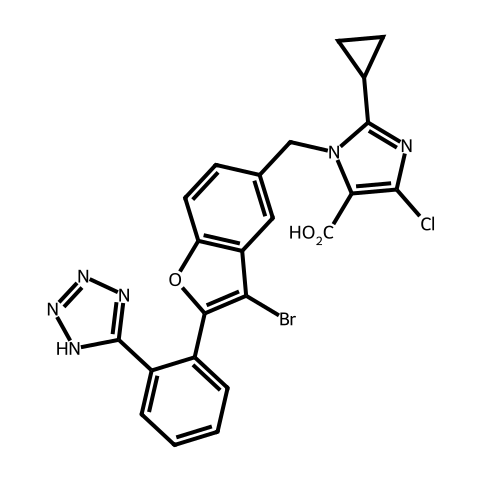 O=C(O)c1c(Cl)nc(C2CC2)n1Cc1ccc2oc(-c3ccccc3-c3nnn[nH]3)c(Br)c2c1